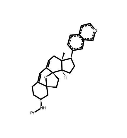 CC(C)N[C@H]1CCC2=CC3=CC[C@]4(C)[C@@H](c5ccc6ccncc6c5)CC[C@H]4[C@@]34CC[C@]2(C1)O4